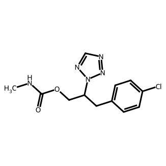 CNC(=O)OCC(Cc1ccc(Cl)cc1)n1ncnn1